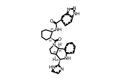 O=C(N[C@@H]1CCCC[C@@H]1C(=O)N1CC[C@@H]2[C@H](c3ncc[nH]3)Nc3ccccc3[C@@H]21)c1ccc2[nH]nnc2c1